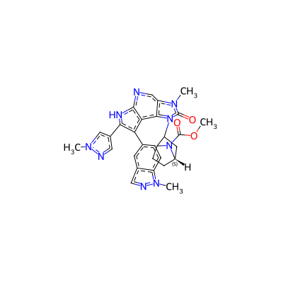 COC(=O)N1C2CC[C@H]1CC2n1c(=O)n(C)c2cnc3[nH]c(-c4cnn(C)c4)c(-c4ccc5c(cnn5C)c4)c3c21